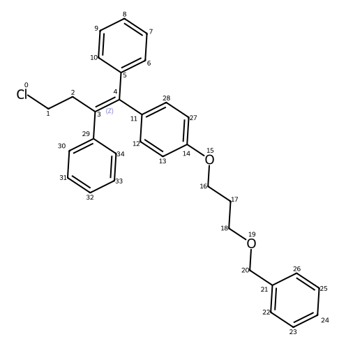 ClCC/C(=C(\c1ccccc1)c1ccc(OCCCOCc2ccccc2)cc1)c1ccccc1